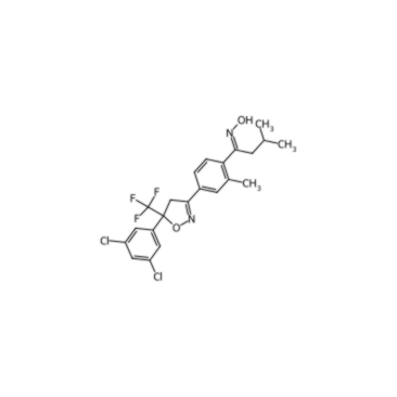 Cc1cc(C2=NOC(c3cc(Cl)cc(Cl)c3)(C(F)(F)F)C2)ccc1/C(CC(C)C)=N/O